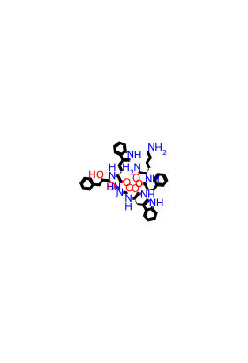 CN(NC(=O)[C@@H](CCc1c[nH]c2ccccc12)NC(=O)[C@@H](O)Cc1ccccc1)C(=O)N[C@@H](Cc1c[nH]c2ccccc12)C(=O)N[C@H](Cc1ccccc1)C(=O)N[C@@H](CCCCN)C(N)=O